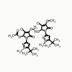 COC1=C(Cl)C(O)N(c2cc(C(C)(C)C)n(C)n2)C1=O.COC1=C(Cl)C(OC(C)=O)N(c2cc(C(C)(C)C)n(C)n2)C1=O